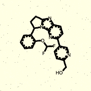 OCc1ccc(-c2ccc3nc4n(c3n2)C(c2ccccc2OC(F)F)CC4)cn1